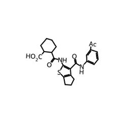 CC(=O)c1cccc(NC(=O)c2c(NC(=O)C3CCCCC3C(=O)O)sc3c2CCC3)c1